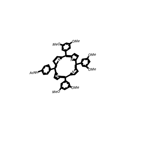 COc1cc(OC)cc(C2=C3C=CC(=N3)C(c3cc(OC)cc(OC)c3)=C3C=CC(=N3)C(c3cc(OC)cc(OC)c3)=C3C=CC(=N3)C(c3ccc(NC(C)=O)cc3)=C3C=CC2=N3)c1